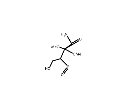 COC(OC)(C(N)=O)C(CO)P=O